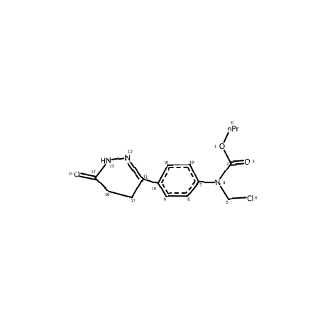 CCCOC(=O)N(CCl)c1ccc(C2=NNC(=O)CC2)cc1